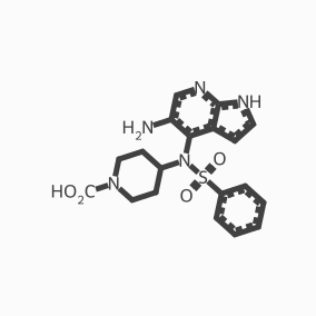 Nc1cnc2[nH]ccc2c1N(C1CCN(C(=O)O)CC1)S(=O)(=O)c1ccccc1